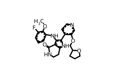 COc1c(F)cccc1Nc1c(-c2ccncc2OCC2CCCO2)[nH]c2c1C(=O)NCC2